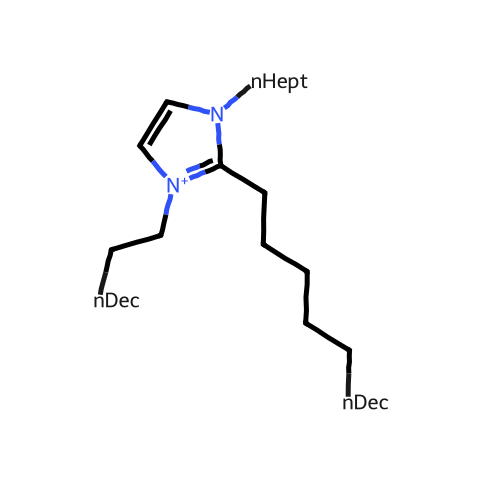 CCCCCCCCCCCCCCCc1n(CCCCCCC)cc[n+]1CCCCCCCCCCCC